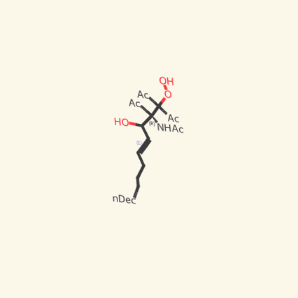 CCCCCCCCCCCCC/C=C/C(O)[C@](NC(C)=O)(C(C)=O)C(OO)(C(C)=O)C(C)=O